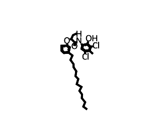 CCCCCCCCCCCCCCCc1cccc(OC(CC)C(=O)Nc2cc(Cl)c(C)c(Cl)c2O)c1